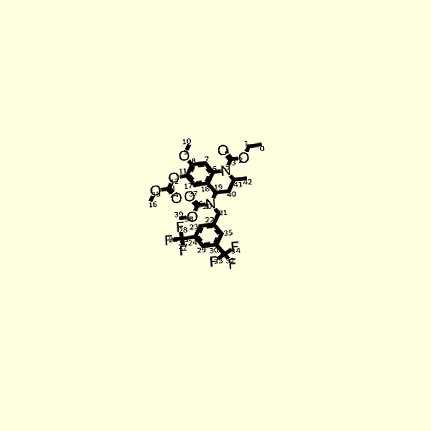 CCOC(=O)N1c2cc(OC)c(OC(=O)OC)cc2C(N(Cc2cc(C(F)(F)F)cc(C(F)(F)F)c2)C(=O)OC)CC1C